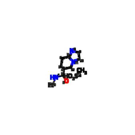 CCNC(=O)c1ccc2nccn2c1.CS(=O)(=O)O